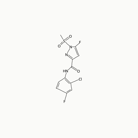 CS(=O)(=O)n1nc(C(=O)Nc2ccc(F)cc2Cl)cc1F